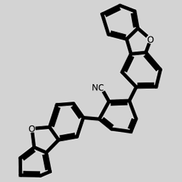 N#Cc1c(-c2ccc3oc4ccccc4c3c2)cccc1-c1ccc2oc3ccccc3c2c1